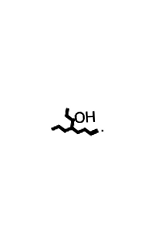 [CH]=CCCC(CCC)C(O)CC